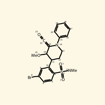 CNS(=O)(=O)c1ccc(Br)cc1C1CCN(c2ccccc2)C(=C=O)C1OC